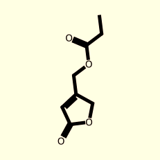 CCC(=O)OCC1=CC(=O)OC1